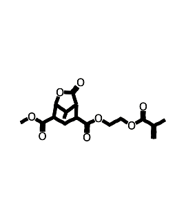 C=C(C)C(=O)OCCOC(=O)C1CC(C(=O)OC)C2OC(=O)C1C2C